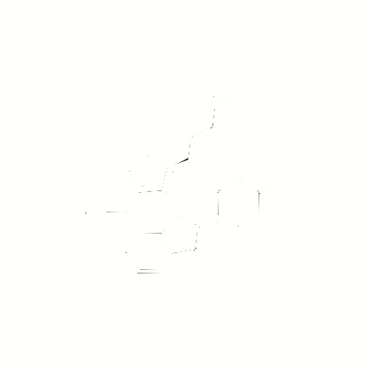 CCCCCN(c1cccc2c1CN(C1CCC(=O)NC1=O)C2=O)[C@@H]1CC[C@@H](CNC(=O)OC(C)(C)C)C1